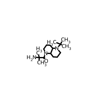 CC(C)(N)C(=O)N1CCCC2C1CCCN2C(C)(C)C